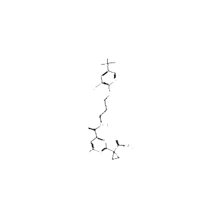 Cc1cc(C(=O)NCCCOc2ncc(C(F)(F)F)cc2Cl)nc(C2(C(N)=O)CC2)n1